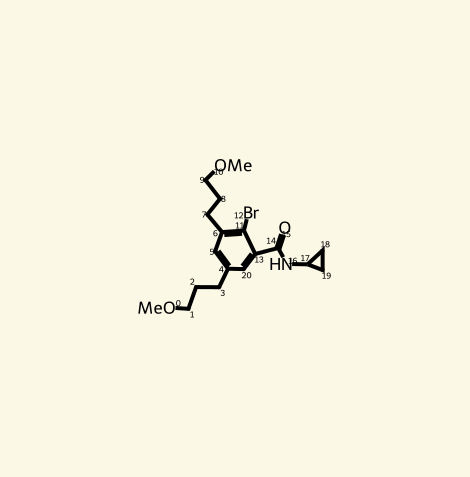 COCCCc1cc(CCCOC)c(Br)c(C(=O)NC2CC2)c1